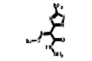 CCO/N=C(\C(=O)N[SiH3])c1nsc(N)n1